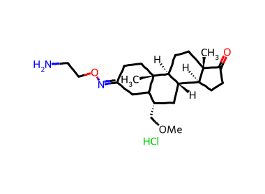 COC[C@H]1C[C@@H]2[C@H](CC[C@]3(C)C(=O)CC[C@@H]23)[C@@]2(C)CCC(=NOCCN)CC12.Cl